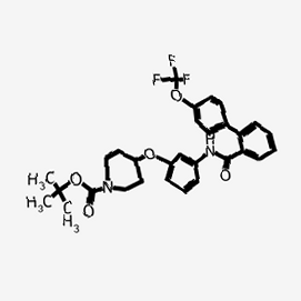 CC(C)(C)OC(=O)N1CCC(Oc2cccc(NC(=O)c3ccccc3-c3ccc(OC(F)(F)F)cc3)c2)CC1